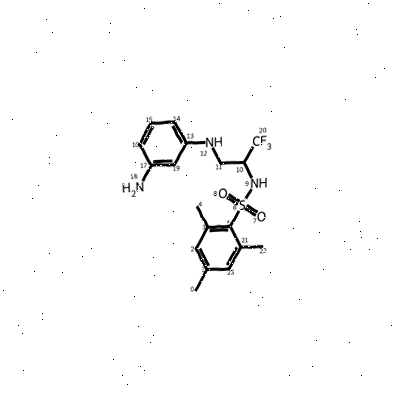 Cc1cc(C)c(S(=O)(=O)NC(CNc2cccc(N)c2)C(F)(F)F)c(C)c1